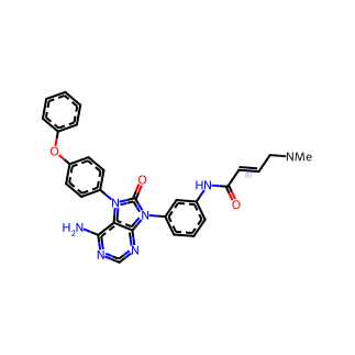 CNC/C=C/C(=O)Nc1cccc(-n2c(=O)n(-c3ccc(Oc4ccccc4)cc3)c3c(N)ncnc32)c1